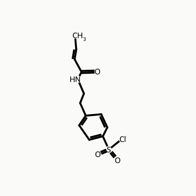 CC=CC(=O)NCCc1ccc(S(=O)(=O)Cl)cc1